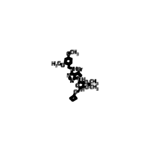 COc1ccc(CNc2ncnc3c2c(Br)cn3[C@@H]2O[C@H](COC3CCC3)[C@H]3OC(C)(C)O[C@H]32)c(OC)c1